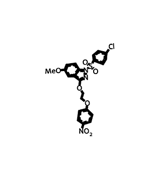 COc1ccc2c(c1)c(OCCOc1ccc([N+](=O)[O-])cc1)nn2S(=O)(=O)c1ccc(Cl)cc1